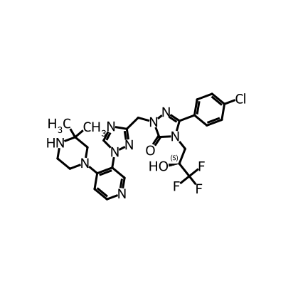 CC1(C)CN(c2ccncc2-n2cnc(Cn3nc(-c4ccc(Cl)cc4)n(C[C@H](O)C(F)(F)F)c3=O)n2)CCN1